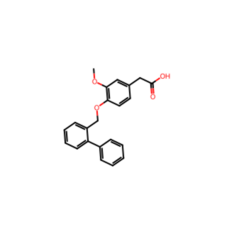 COc1cc(CC(=O)O)ccc1OCc1ccccc1-c1ccccc1